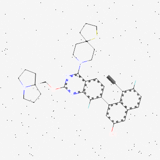 C#Cc1c(F)ccc2cc(O)cc(-c3ccc4c(N5CCC6(CCCS6)CC5)nc(OC[C@@]56CCCN5C[C@H](F)C6)nc4c3F)c12